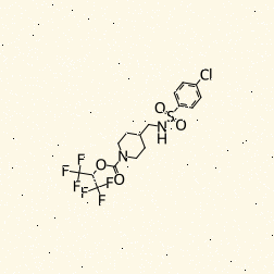 O=C(OC(C(F)(F)F)C(F)(F)F)N1CCC(CNS(=O)(=O)c2ccc(Cl)cc2)CC1